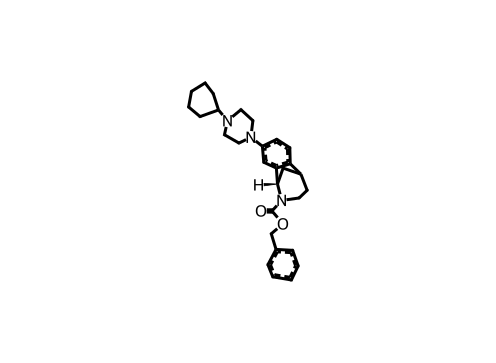 O=C(OCc1ccccc1)N1CCC2C[C@H]1c1cc(N3CCN(C4CCCCC4)CC3)ccc12